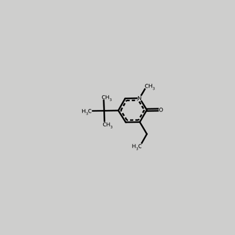 CCc1cc(C(C)(C)C)cn(C)c1=O